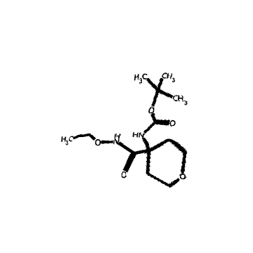 CCONC(=O)C1(NC(=O)OC(C)(C)C)CCOCC1